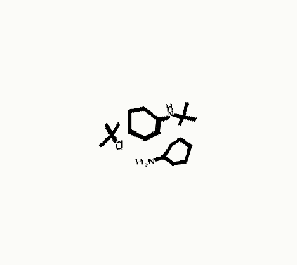 CC(C)(C)Cl.CC(C)(C)NC1CCCCC1.NC1CCCCC1